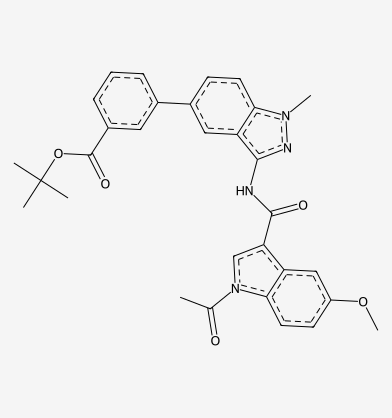 COc1ccc2c(c1)c(C(=O)Nc1nn(C)c3ccc(-c4cccc(C(=O)OC(C)(C)C)c4)cc13)cn2C(C)=O